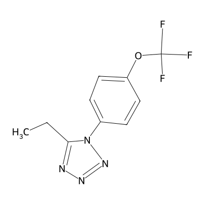 CCc1nnnn1-c1ccc(OC(F)(F)F)cc1